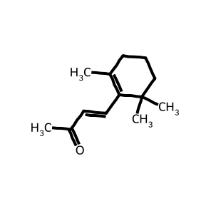 CC(=O)C=CC1=C(C)CCCC1(C)C